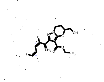 C=C(/C(F)=C\C=C/F)c1nn2c(c1C(=O)OCC)OC(CO)CC2